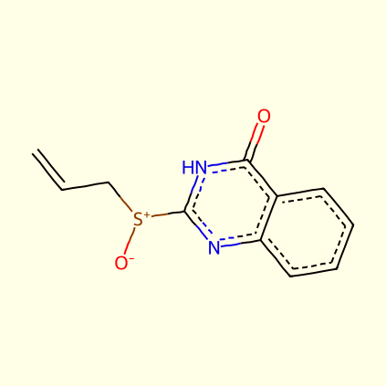 C=CC[S+]([O-])c1nc2ccccc2c(=O)[nH]1